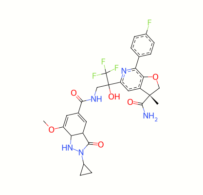 COC1=CC(C(=O)NCC(O)(c2cc3c(c(-c4ccc(F)cc4)n2)OC[C@]3(C)C(N)=O)C(F)(F)F)=CC2C(=O)N(C3CC3)NC12